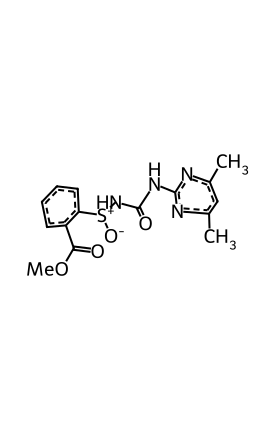 COC(=O)c1ccccc1[S+]([O-])NC(=O)Nc1nc(C)cc(C)n1